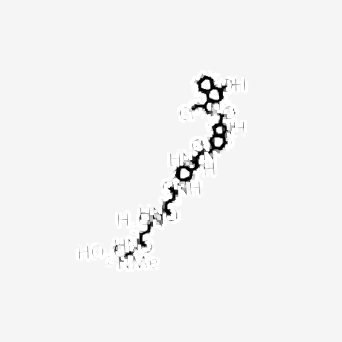 CN[C@@H](CNC(=O)CC/C(C)=N/NC(=O)CCC(=O)Nc1ccc2[nH]c(C(=O)Nc3ccc4[nH]c(C(=O)N5CC(CCl)c6c5cc(O)c5ccccc65)cc4c3)cc2c1)C(=O)O